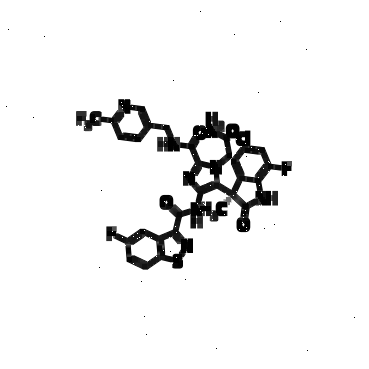 C[C@@]1(c2c(NC(=O)c3nsc4ccc(F)cc34)nc(C(=O)NCc3ccc(C(F)(F)F)nc3)n2CC(N)=O)C(=O)Nc2c(F)cc(Cl)cc21